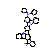 CC1(C)c2ccccc2-c2cc3c4cc5c(cc4n4c6ccccc6c(c21)c34)c1ccc(N(c2ccccc2)c2ccccc2)c2c3ccccc3n5c12